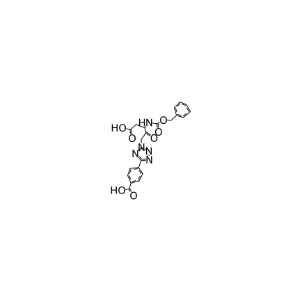 O=C(O)CC(NC(=O)OCc1ccccc1)C(=O)Cn1nnc(-c2ccc(C(=O)O)cc2)n1